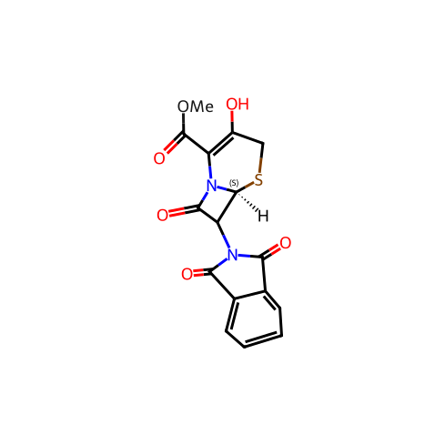 COC(=O)C1=C(O)CS[C@H]2C(N3C(=O)c4ccccc4C3=O)C(=O)N12